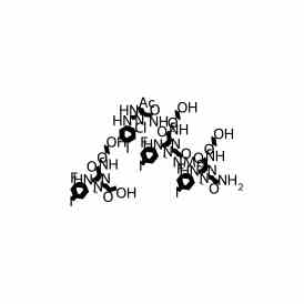 CC(=O)c1[nH]c(Nc2ccc(I)cc2Cl)nc1C(N)=O.CNC(=O)c1nc(C(=O)NOCCO)c(Nc2ccc(I)cc2F)n1C.Cn1c(C(=O)CO)nc(C(=O)NOCCO)c1Nc1ccc(I)cc1F.Cn1c(C(N)=O)nc(C(=O)NOCCO)c1Nc1ccc(I)cc1F